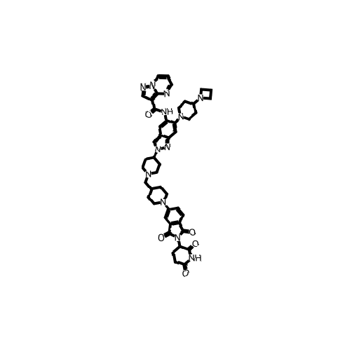 O=C1CCC(N2C(=O)c3ccc(N4CCC(CN5CCC(n6cc7cc(NC(=O)c8cnn9cccnc89)c(N8CCC(N9CCC9)CC8)cc7n6)CC5)CC4)cc3C2=O)C(=O)N1